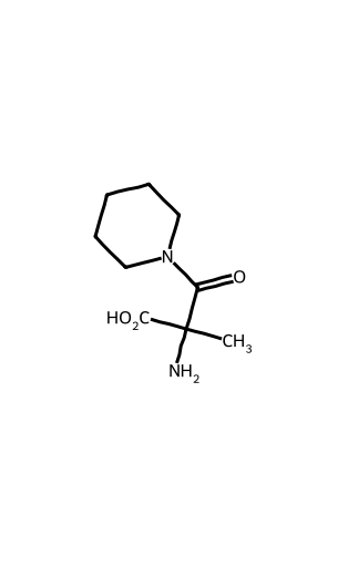 CC(N)(C(=O)O)C(=O)N1CCCCC1